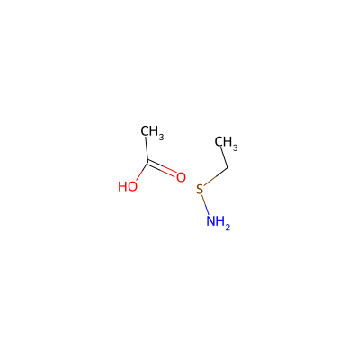 CC(=O)O.CCSN